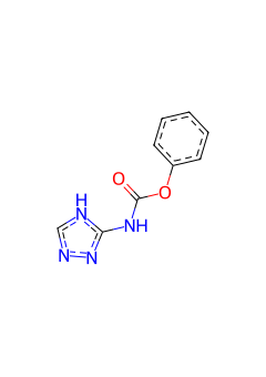 O=C(Nc1nnc[nH]1)Oc1ccccc1